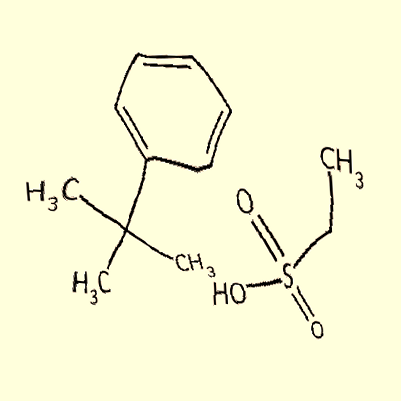 CC(C)(C)c1ccccc1.CCS(=O)(=O)O